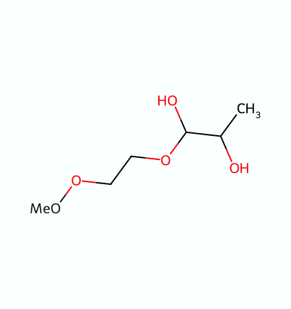 COOCCOC(O)C(C)O